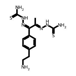 CC(=NNC(N)=S)C(=NNC(N)=S)c1ccc(CCN)cc1